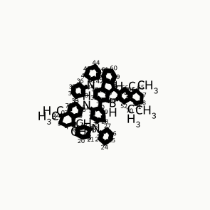 CC1(C)CCC(C)(C)c2cc(Nc3cc(N(c4ccccc4)c4ccccc4)ccc3-c3cc(N(c4ccccc4)c4ccccc4)c4c5c3Bc3cc6c(cc3C5c3ccccc3-4)C(C)(C)CCC6(C)C)ccc21